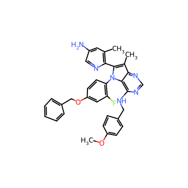 COc1ccc(CNc2ncnc3c(C)c(-c4ncc(N)cc4C)n(-c4ccc(OCc5ccccc5)cc4F)c23)cc1